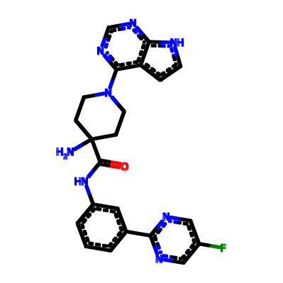 NC1(C(=O)Nc2cccc(-c3ncc(F)cn3)c2)CCN(c2ncnc3[nH]ccc23)CC1